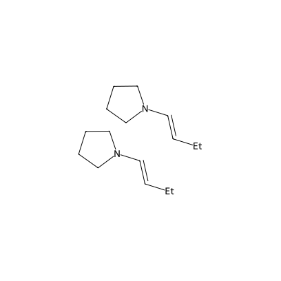 CC/C=C/N1CCCC1.CC/C=C/N1CCCC1